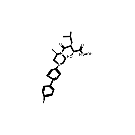 CC(C)C[C@H](C(=O)N1CCN(c2ccc(-c3ccc(F)cc3)cc2)C[C@H]1C)[C@H](O)C(=O)NO